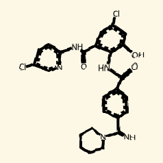 N=C(c1ccc(C(=O)Nc2c(O)cc(Cl)cc2C(=O)Nc2ccc(Cl)cn2)cc1)N1CCCCC1